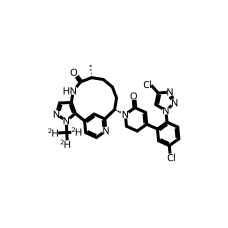 [2H]C([2H])([2H])n1ncc2c1-c1ccnc(c1)[C@@H](N1CCC(c3cc(Cl)ccc3-n3cc(Cl)nn3)=CC1=O)CCC[C@@H](C)C(=O)N2